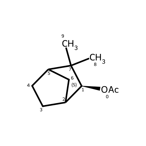 CC(=O)O[C@H]1C2CCC(C2)C1(C)C